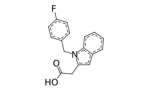 O=C(O)Cc1cc2ccccc2n1Cc1ccc(F)cc1